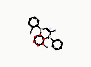 Fc1ccccc1P(/C=C(/I)P(c1ccccc1)c1ccccc1F)c1ccccc1